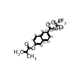 C=C(C)C(=O)Oc1ccc2cc(C(=O)NS(=O)(=O)C(F)(F)F)ccc2c1